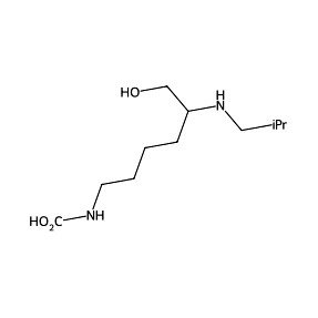 CC(C)CNC(CO)CCCCNC(=O)O